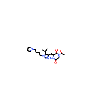 CC(=O)N1CC(=O)NC(=Cc2ncn(CCCCn3cccc3)c2C(C)C)C1=O